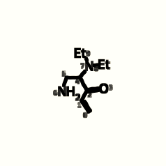 C=CC(=O)C(CN)N(CC)CC